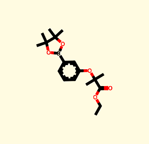 CCOC(=O)C(C)(C)Oc1cccc(B2OC(C)(C)C(C)(C)O2)c1